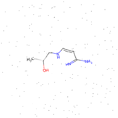 C[C@@H](O)CN/C=C\C(=N)N